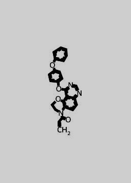 C=CC(=O)N1CCOc2c1ccc1ncnc(Oc3ccc(Oc4ccccc4)cc3)c21